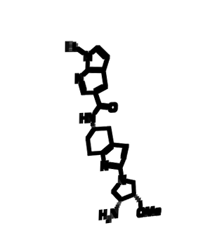 CCn1ccc2cc(C(=O)N[C@H]3CCc4nc(N5C[C@H](COC)[C@H](N)C5)ccc4C3)cnc21